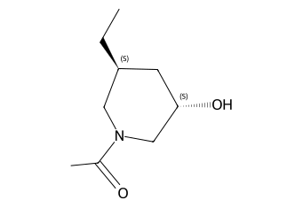 CC[C@H]1C[C@H](O)CN(C(C)=O)C1